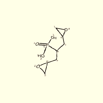 O=P(O)(O)C(CC1CO1)CC1CO1